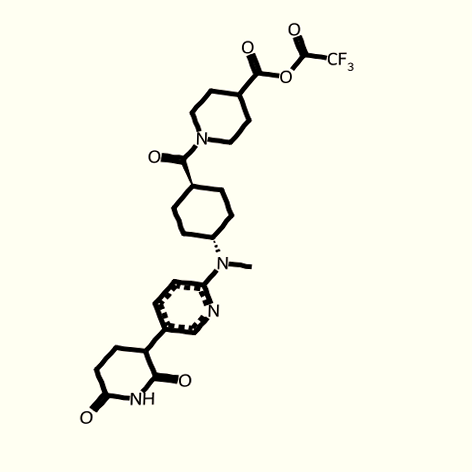 CN(c1ccc(C2CCC(=O)NC2=O)cn1)[C@H]1CC[C@H](C(=O)N2CCC(C(=O)OC(=O)C(F)(F)F)CC2)CC1